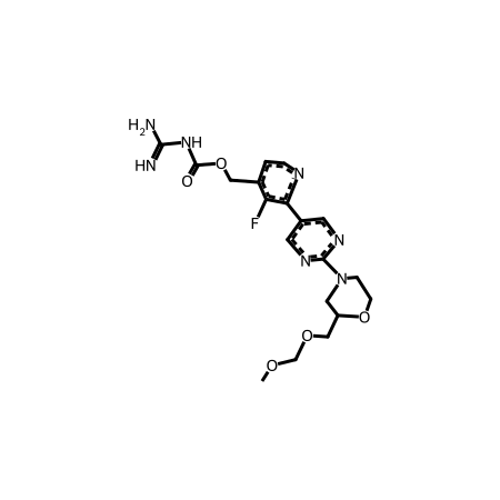 COCOCC1CN(c2ncc(-c3nccc(COC(=O)NC(=N)N)c3F)cn2)CCO1